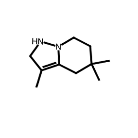 CC1=C2CC(C)(C)CCN2NC1